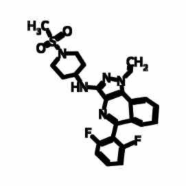 C=Cn1nc(NC2CCN(S(C)(=O)=O)CC2)c2nc(-c3c(F)cccc3F)c3ccccc3c21